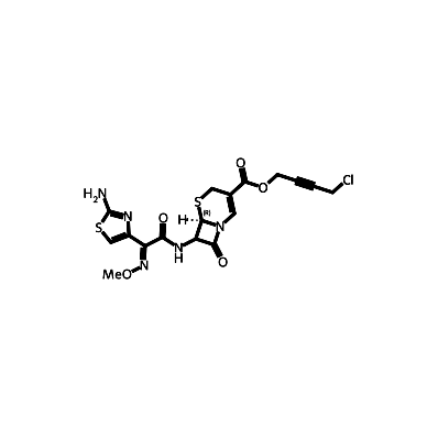 CON=C(C(=O)NC1C(=O)N2C=C(C(=O)OCC#CCCl)CS[C@H]12)c1csc(N)n1